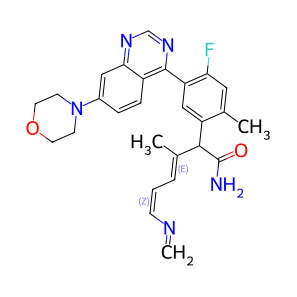 C=N/C=C\C=C(/C)C(C(N)=O)c1cc(-c2ncnc3cc(N4CCOCC4)ccc23)c(F)cc1C